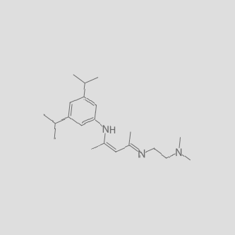 C/C(=C/C(C)=N/CCN(C)C)Nc1cc(C(C)C)cc(C(C)C)c1